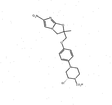 CC[C@@H]1CN(c2ccc(OCC3(C)Cn4cc([N+](=O)[O-])nc4O3)cc2)CCN1C(=O)O